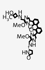 COc1nc(-c2cccc(-c3cccc(-c4cnc(CN[C@H]5C[C@](C)(O)C5)c(OC)n4)c3Cl)c2Cl)cnc1CNC[C@@H]1CCC(=O)N1